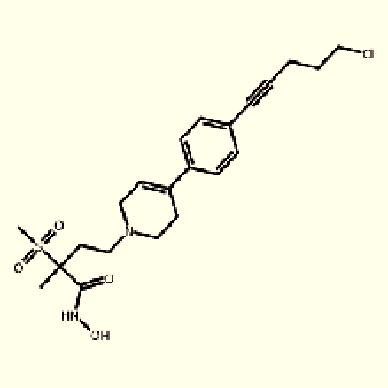 CC(CCN1CC=C(c2ccc(C#CCCCCl)cc2)CC1)(C(=O)NO)S(C)(=O)=O